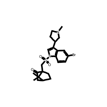 CN1CCC(c2cn(S(=O)(=O)CC34CCC(CC3=O)C4(C)C)c3ccc(Br)cc23)C1